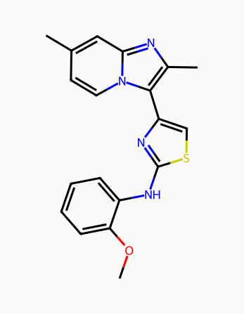 COc1ccccc1Nc1nc(-c2c(C)nc3cc(C)ccn23)cs1